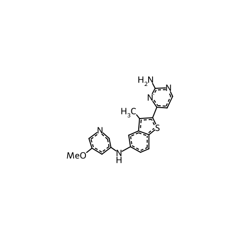 COc1cncc(Nc2ccc3sc(-c4ccnc(N)n4)c(C)c3c2)c1